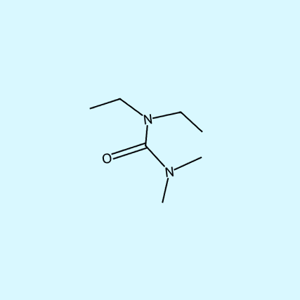 CCN(CC)C(=O)N(C)C